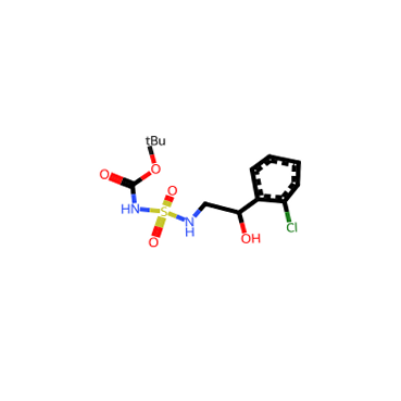 CC(C)(C)OC(=O)NS(=O)(=O)NCC(O)c1ccccc1Cl